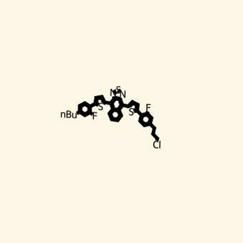 CCCCc1ccc(-c2ccc(-c3c4ccccc4c(-c4ccc(-c5ccc(CCCCl)cc5F)s4)c4nsnc34)s2)c(F)c1